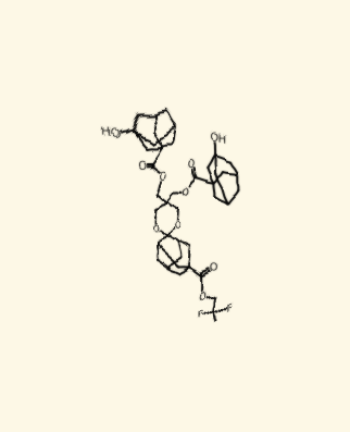 CC(F)(F)COC(=O)C12CC3CC(C1)C1(OCC(COC(=O)C45CC6CC(CC(O)(C6)C4)C5)(COC(=O)C45CC6CC(CC(O)(C6)C4)C5)CO1)C(C3)C2